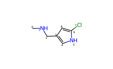 CNCc1c[nH]c(Cl)c1